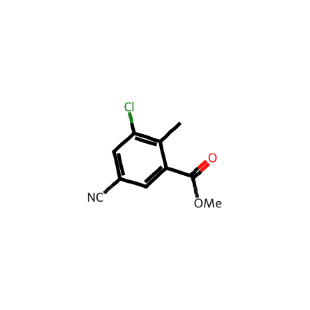 COC(=O)c1cc(C#N)cc(Cl)c1C